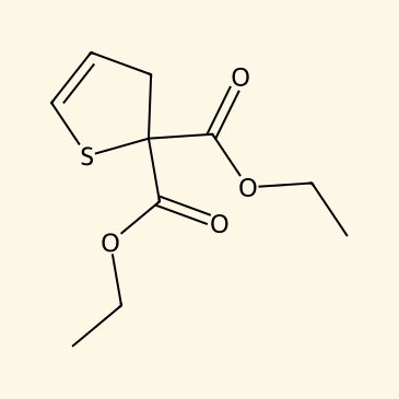 CCOC(=O)C1(C(=O)OCC)CC=CS1